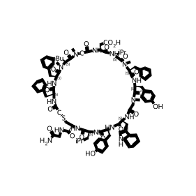 CCCC[C@H]1C(=O)N(C)CC(=O)N[C@@H](CC(=O)O)C(=O)N[C@@H](C(C)C)C(=O)N(C)[C@@H](Cc2ccccc2)C(=O)N[C@@H](Cc2ccc(O)cc2)C(=O)N(C)CC(=O)N[C@@H](Cc2c[nH]c3ccccc23)C(O)N[C@@H](Cc2ccc(O)cc2)C(=O)N[C@@H](CC(C)C)C(=O)N[C@H](C(=O)NCC(N)=O)CSCC(=O)N[C@@H](Cc2ccccc2)C(=O)N[C@@H](Cc2ccccc2)C(=O)N1C